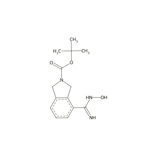 CC(C)(C)OC(=O)N1Cc2cccc(C(=N)NO)c2C1